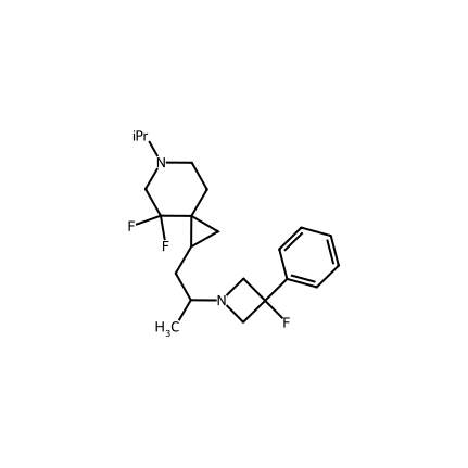 CC(C)N1CCC2(CC2CC(C)N2CC(F)(c3ccccc3)C2)C(F)(F)C1